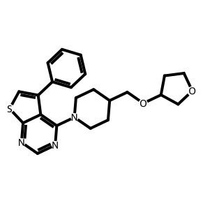 c1ccc(-c2csc3ncnc(N4CCC(COC5CCOC5)CC4)c23)cc1